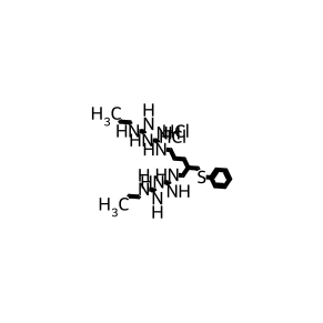 CCCNC(=N)NC(=N)NCCCC(CNC(=N)NC(=N)NCCC)CSc1ccccc1.Cl.Cl